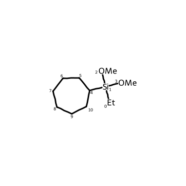 CC[Si](OC)(OC)C1CCCCCC1